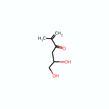 C=C(C)C(=O)CC(O)CO